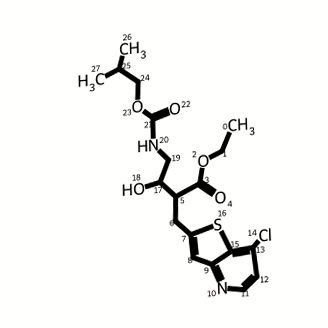 CCOC(=O)C(Cc1cc2nccc(Cl)c2s1)C(O)CNC(=O)OCC(C)C